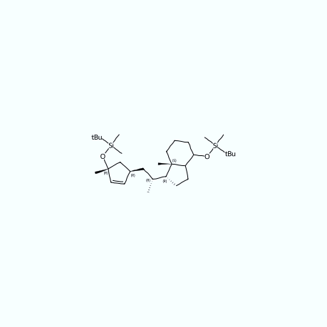 C[C@H](C[C@H]1C=C[C@](C)(O[Si](C)(C)C(C)(C)C)C1)[C@H]1CCC2C(O[Si](C)(C)C(C)(C)C)CCC[C@]21C